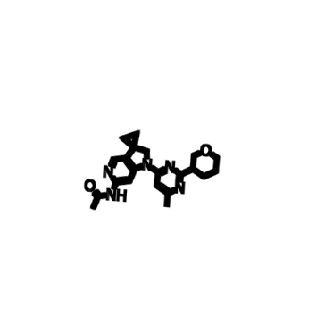 CC(=O)Nc1cc2c(cn1)C1(CC1)CN2c1cc(C)nc(C2CCCOC2)n1